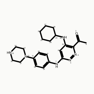 CC(=O)c1nnc(Nc2ccc(N3CCNCC3)cc2)cc1NC1CCCCC1